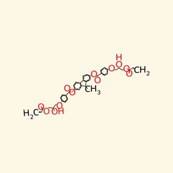 C=CC(=O)OCC(O)COc1ccc(C(=O)Oc2ccc3c(c2)C(C)c2cc(OC(=O)c4ccc(OCC(O)COC(=O)C=C)cc4)ccc2-3)cc1